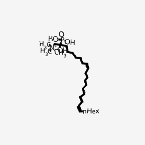 CCCCCC/C=C\CCCCCCCC/C=C\CCCCCCC(O)(C[N+](C)(C)C)P(=O)(O)O